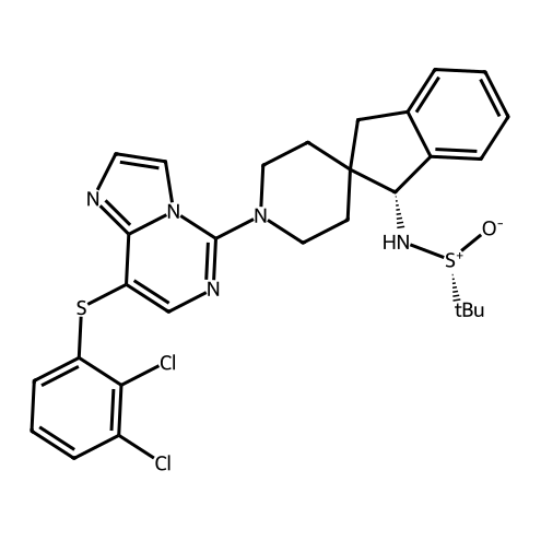 CC(C)(C)[S@@+]([O-])N[C@H]1c2ccccc2CC12CCN(c1ncc(Sc3cccc(Cl)c3Cl)c3nccn13)CC2